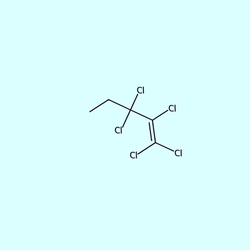 CCC(Cl)(Cl)C(Cl)=C(Cl)Cl